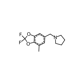 Cc1cc(CN2CCCC2)cc2c1OC(F)(F)O2